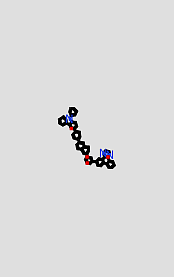 c1ccc(-n2c3ccccc3c3cc(-c4ccc(-c5ccc6cc(-c7cccc(-c8ccc9c%10ccccc%10c%10nccnc%10c9c8)c7)ccc6c5)cc4)ccc32)cc1